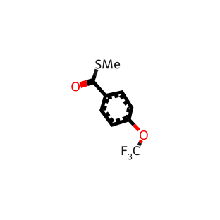 CSC(=O)c1ccc(OC(F)(F)F)cc1